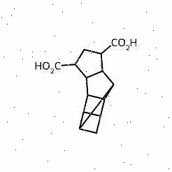 O=C(O)C1CC(C(=O)O)C2C1C1C3CC4C3C2C41